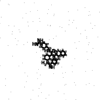 Cc1ccccc1[C@H](Cc1ccc(C(=N)N)cc1)C(=O)NC(C(=O)NCC1CCN(C(=N)N)CC1)C1CCCCC1